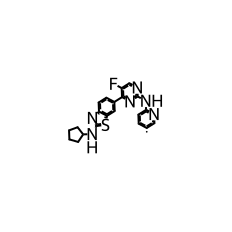 Fc1cnc(Nc2cc[c]cn2)nc1-c1ccc2nc(NC3CCCC3)sc2c1